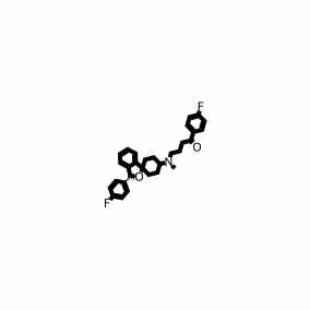 CN(CCCC(=O)c1ccc(F)cc1)C1CCC2(CC1)O[C@H](c1ccc(F)cc1)c1ccccc12